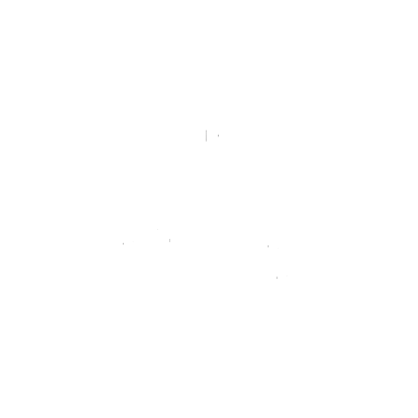 Cc1ccc(CCCCC2(C(=O)O)CC2)c(CCCCC(C)(C)C(=O)O)c1